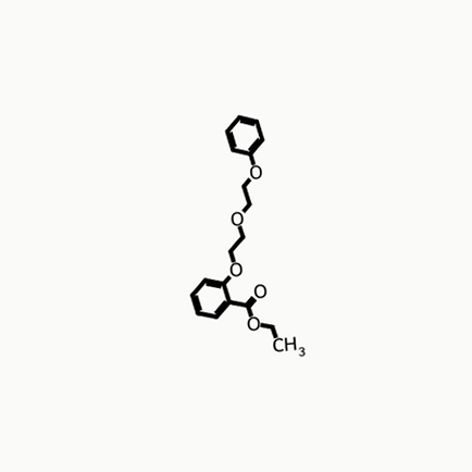 CCOC(=O)c1ccccc1OCCOCCOc1ccccc1